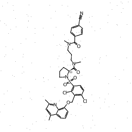 Cc1cc(C)c2cccc(OCc3c(Cl)ccc(S(=O)(=O)N4CCC[C@H]4C(=O)N(C)CCCN(C)C(=O)c4ccc(C#N)cc4)c3Cl)c2n1